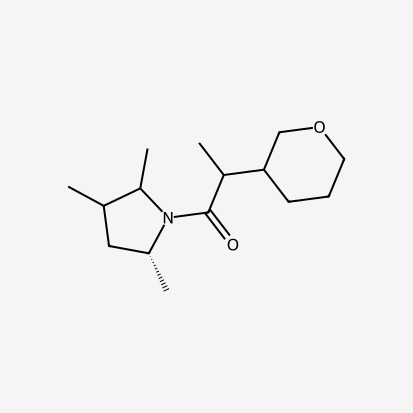 CC1C[C@@H](C)N(C(=O)C(C)C2CCCOC2)C1C